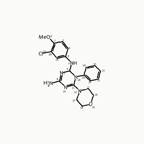 COc1ccc(NC2N=C(N)N=C(N3CCOCC3)N2c2ccccc2)cc1Cl